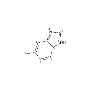 CC1=CC2=NSNC2C=C1